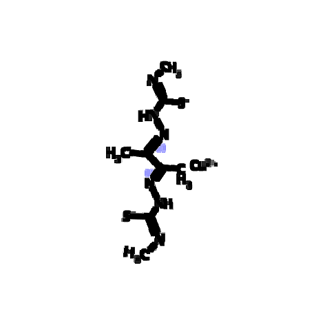 CN=C([S-])N/N=C(C)/C(C)=N/NC([S-])=NC.[Cu+2]